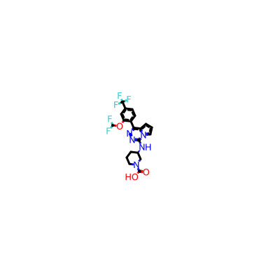 O=C(O)N1CCC[C@@H](Nc2nnc(-c3ccc(C(F)(F)F)cc3OC(F)F)c3cccn23)C1